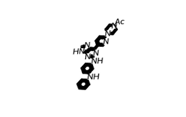 CC(=O)N1CCN(c2ccc(-c3nc(Nc4cccc(Nc5ccccc5)c4)nc4[nH]cnc34)cn2)CC1